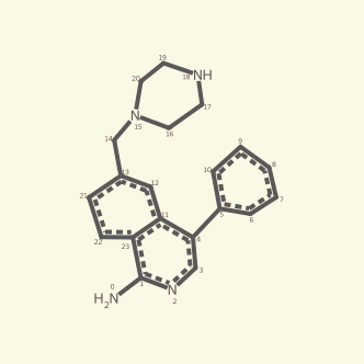 Nc1ncc(-c2ccccc2)c2cc(CN3CCNCC3)ccc12